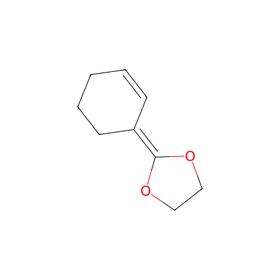 C1=CC(=C2OCCO2)CCC1